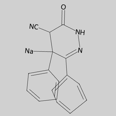 N#CC1C(=O)NN=C(c2ccccc2)[C]1([Na])c1ccccc1